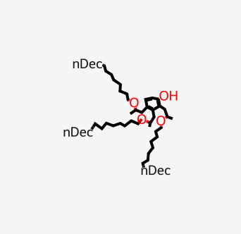 CCCCCCCCCCCCCCCCCCOC(C)Cc1ccc(O)c(CC(C)OCCCCCCCCCCCCCCCCCC)c1CC(C)OCCCCCCCCCCCCCCCCCC